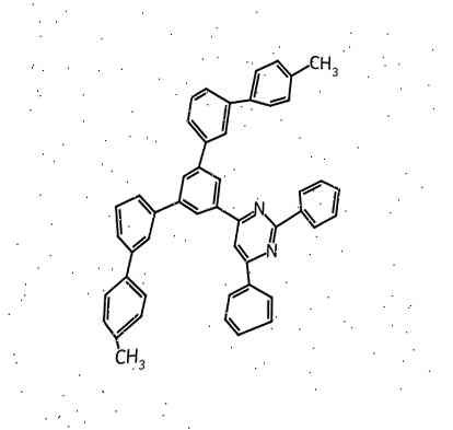 Cc1ccc(-c2cccc(-c3cc(-c4cccc(-c5ccc(C)cc5)c4)cc(-c4cc(-c5ccccc5)nc(-c5ccccc5)n4)c3)c2)cc1